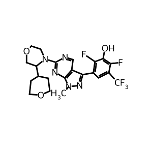 Cn1nc(-c2cc(C(F)(F)F)c(F)c(O)c2F)c2cnc(N3CCOCC3C3CCOCC3)nc21